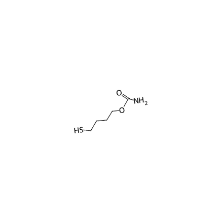 NC(=O)OCCCCS